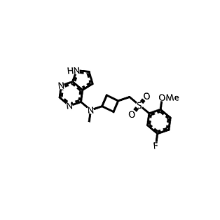 COc1ccc(F)cc1S(=O)(=O)CC1CC(N(C)c2ncnc3[nH]ccc23)C1